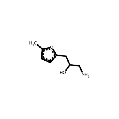 Cc1ccc(CC(O)CN)o1